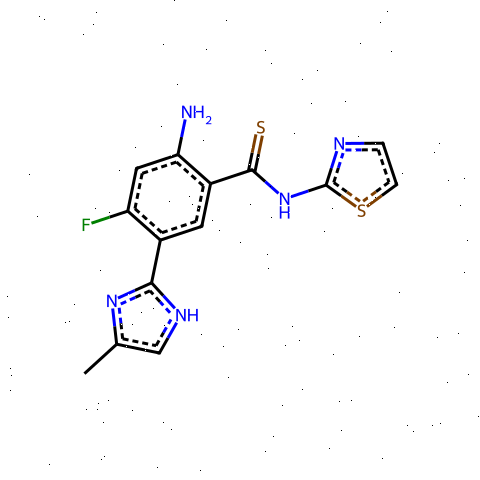 Cc1c[nH]c(-c2cc(C(=S)Nc3nccs3)c(N)cc2F)n1